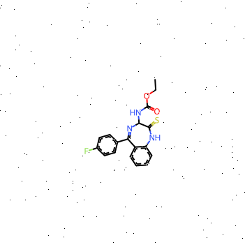 CCOC(=O)NC1N=C(c2ccc(F)cc2)c2ccccc2NC1=S